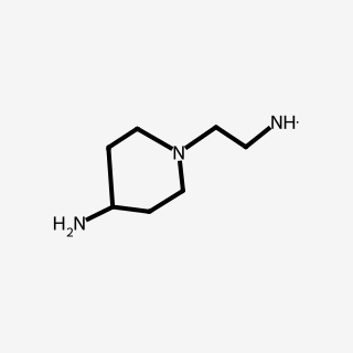 [NH]CCN1CCC(N)CC1